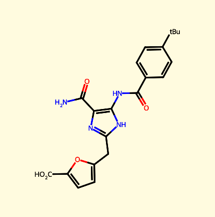 CC(C)(C)c1ccc(C(=O)Nc2[nH]c(Cc3ccc(C(=O)O)o3)nc2C(N)=O)cc1